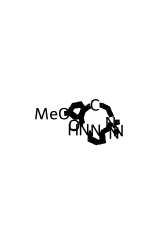 COc1ccc2c(c1)C(=O)Nc1cccc(n1)-c1nncn1CCCCC2